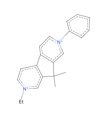 CC[n+]1ccc2c(c1)C(C)(C)c1c[n+](-c3ccccc3)ccc1-2